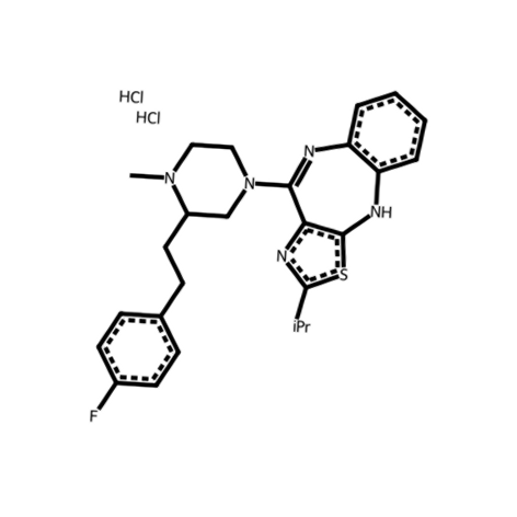 CC(C)c1nc2c(s1)Nc1ccccc1N=C2N1CCN(C)C(CCc2ccc(F)cc2)C1.Cl.Cl